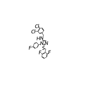 Fc1ccc(-n2c(NCc3ccc(Cl)c(Cl)c3)cnc2SCc2c(F)cccc2F)cc1